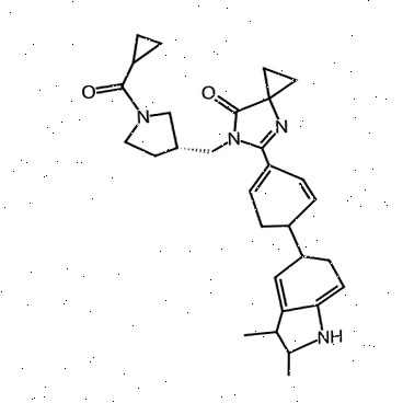 CC1NC2=CCC(C3C=CC(C4=NC5(CC5)C(=O)N4C[C@@H]4CCN(C(=O)C5CC5)C4)=CC3)C=C2C1C